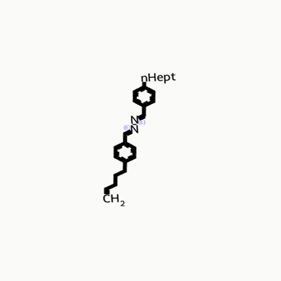 C=CCCCc1ccc(/C=N/N=C/c2ccc(CCCCCCC)cc2)cc1